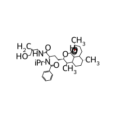 C=C(CO)CNC(=O)C(CC[C@H]1O[C@@H]2O[C@]3(C)CCC4[C@H](C)CCC([C@H]1C)[C@]42OO3)N(C(=O)c1ccccc1)C(C)C